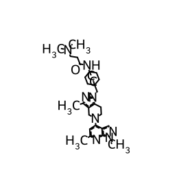 Cc1cc(N2CCc3c(c(C)nn3CC34CCC(NC(=O)CCN(C)C)(CC3)CC4)C2)c2cnn(C)c2n1